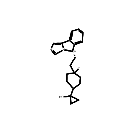 OC1(C2CCC(F)(CC[C@H]3c4ccccc4-c4cncn43)CC2)CC1